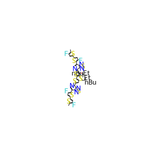 CCCCC(CC)CS1(CC(CC)CCCC)c2cc(-c3ncc(-c4sc(-c5cc(F)c(C)s5)cc4F)c4nsnc34)sc2-c2sc(-c3ncc(-c4sc(-c5cc(F)c(C)s5)cc4F)c4nsnc34)cc21